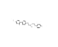 CCCc1ccc(C2CCC(CCc3ccc(-c4ccc(OCC)c(F)c4F)c(F)c3F)CO2)c(F)c1F